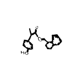 CC(C(=O)OCc1cccc2ccccc12)c1ccc(O)cc1